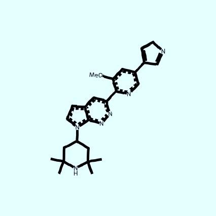 COc1cc(C2=CCN=C2)cnc1-c1cc2ccn(C3CC(C)(C)NC(C)(C)C3)c2nn1